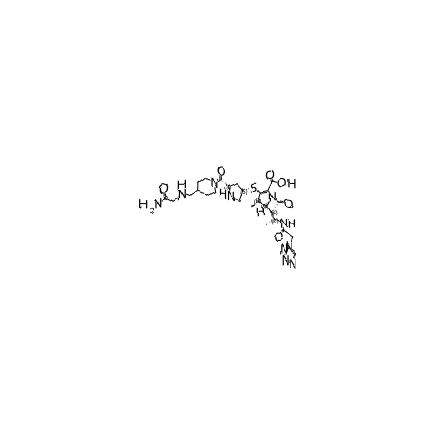 C[C@@H](NC(=O)Cn1cnnn1)[C@H]1C(=O)N2C(C(=O)O)=C(S[C@@H]3CN[C@H](C(=O)N4CCC(CNCC(N)=O)CC4)C3)[C@H](C)[C@H]12